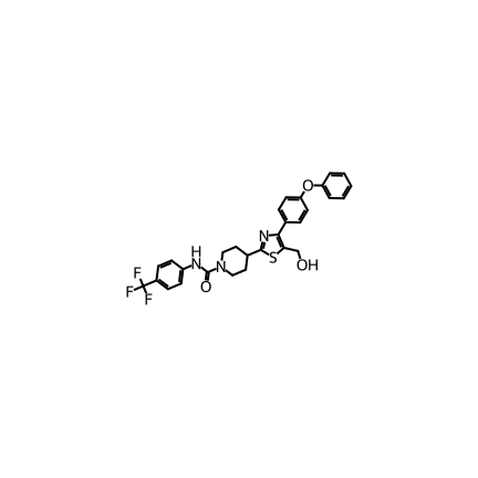 O=C(Nc1ccc(C(F)(F)F)cc1)N1CCC(c2nc(-c3ccc(Oc4ccccc4)cc3)c(CO)s2)CC1